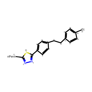 CCCCCc1nnc(-c2ccc(CCc3ccc(CC)cc3)cc2)s1